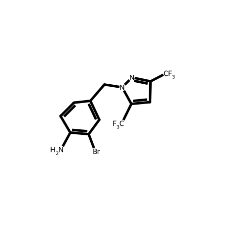 Nc1ccc(Cn2nc(C(F)(F)F)cc2C(F)(F)F)cc1Br